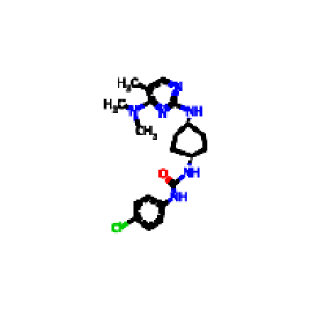 Cc1cnc(N[C@H]2CC[C@@H](NC(=O)Nc3ccc(Cl)cc3)CC2)nc1N(C)C